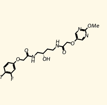 COc1ncc(OCC(=O)NCC[C@H](O)CNC(=O)COc2ccc(Cl)c(F)c2)cn1